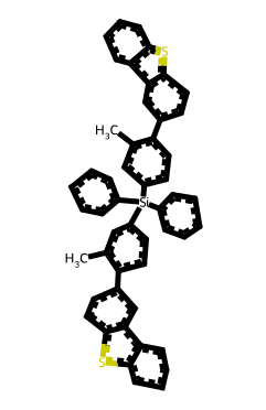 Cc1cc([Si](c2ccccc2)(c2ccccc2)c2ccc(-c3ccc4sc5ccccc5c4c3)c(C)c2)ccc1-c1ccc2sc3ccccc3c2c1